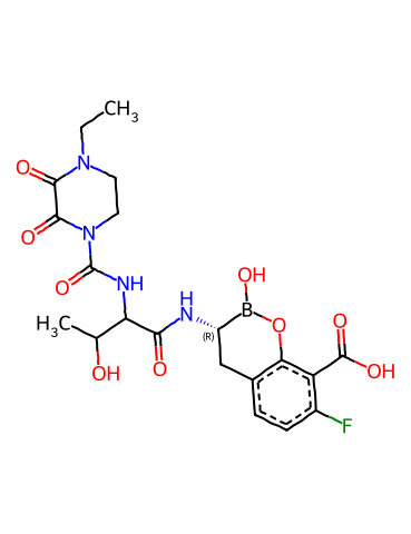 CCN1CCN(C(=O)NC(C(=O)N[C@H]2Cc3ccc(F)c(C(=O)O)c3OB2O)C(C)O)C(=O)C1=O